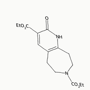 CCOC(=O)c1cc2c([nH]c1=O)CCN(C(=O)OCC)CC2